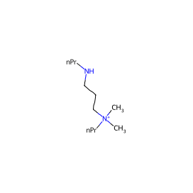 CCCNCCC[N+](C)(C)CCC